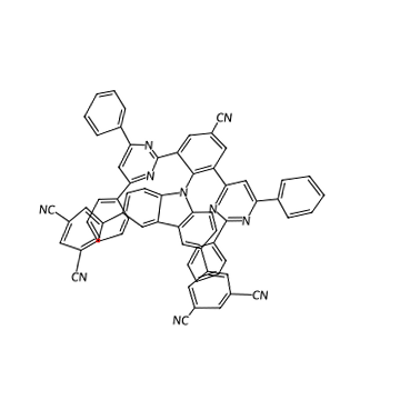 N#Cc1cc(C#N)cc(-c2ccc3c(c2)c2cc(-c4cc(C#N)cc(C#N)c4)ccc2n3-c2c(-c3cc(-c4ccccc4)nc(-c4ccccc4)n3)cc(C#N)cc2-c2nc(-c3ccccc3)cc(-c3ccccc3)n2)c1